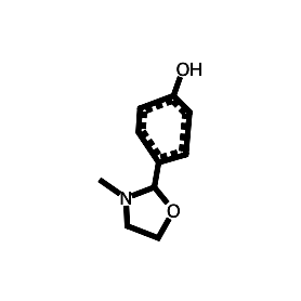 CN1CCOC1c1ccc(O)cc1